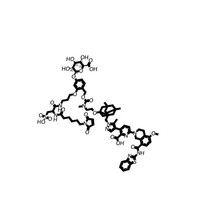 COc1ccc(C(=O)Nc2nc3ccccc3s2)c2c1CCN(c1ccc(-c3cnn(CC45CC6(C)CC(C)(C4)CC(OCCN(C)C(=O)OCc4ccc(O[C@@H]7O[C@H](C(=O)O)[C@@H](O)[C@H](O)[C@H]7O)cc4OCCCNC(=O)C(CS(=O)(=O)O)NC(=O)CCCCCN4C(=O)C=CC4=O)(C6)C5)c3C)c(C(=O)O)n1)C2